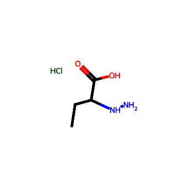 CCC(NN)C(=O)O.Cl